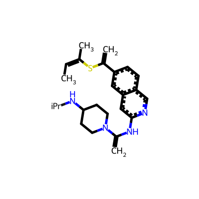 C=C(S/C(C)=C\C)c1ccc2cnc(NC(=C)N3CCC(NC(C)C)CC3)cc2c1